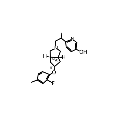 Cc1ccc(O[C@H]2C[C@@H]3CN(CC(C)c4ccc(O)cn4)C[C@@H]3C2)c(F)c1